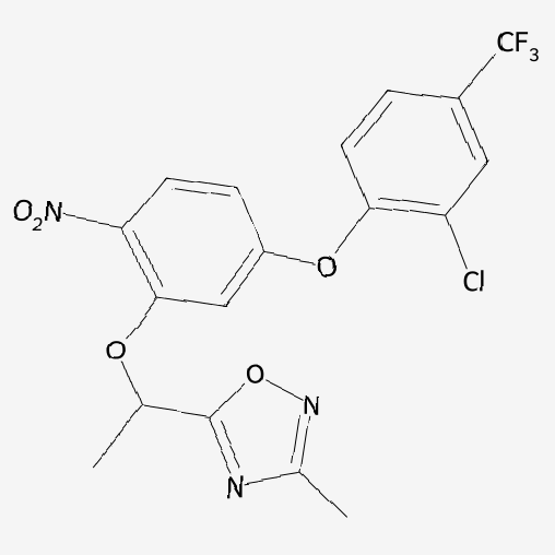 Cc1noc(C(C)Oc2cc(Oc3ccc(C(F)(F)F)cc3Cl)ccc2[N+](=O)[O-])n1